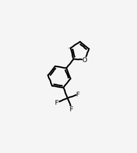 FC(F)(F)c1cccc(-c2[c]cco2)c1